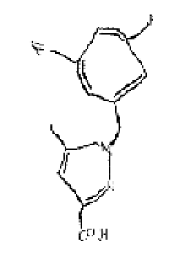 Cc1cc(C(=O)O)nn1Cc1cc(F)cc(F)c1